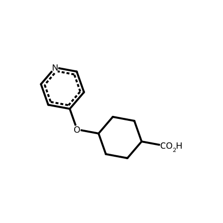 O=C(O)C1CCC(Oc2ccncc2)CC1